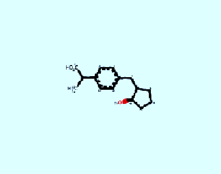 [11CH3]C(C(=O)O)c1ccc(CC2CCCC2=O)cc1